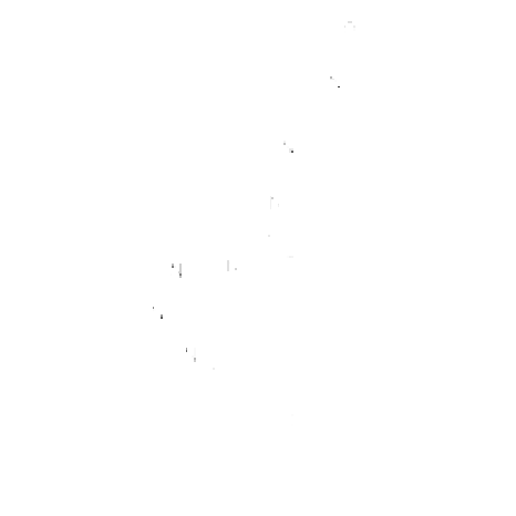 Nc1ncnc2c1c(-c1ccc(Oc3ccccc3)cc1)cn2CC(=O)N1CCN(CCN2CCOCC2)CC1